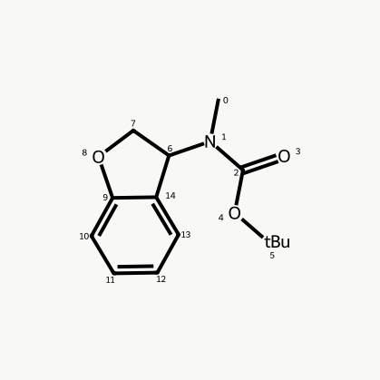 CN(C(=O)OC(C)(C)C)C1COc2ccccc21